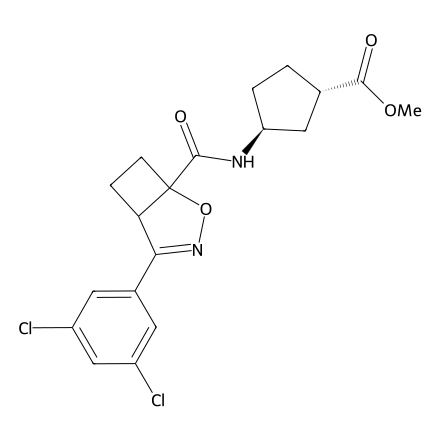 COC(=O)[C@H]1CC[C@H](NC(=O)C23CCC2C(c2cc(Cl)cc(Cl)c2)=NO3)C1